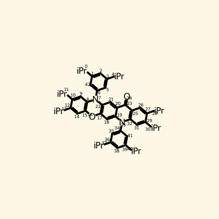 CC(C)c1cc(C(C)C)cc(N2c3cc(C(C)C)c(C(C)C)cc3Oc3cc4c(cc32)c(=O)c2cc(C(C)C)c(C(C)C)cc2n4-c2cc(C(C)C)cc(C(C)C)c2)c1